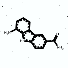 NC(=O)c1ccc2[nH]c3c(N)cccc3c2c1